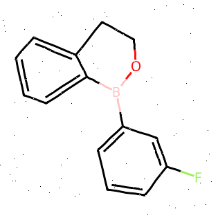 Fc1cccc(B2OCCc3ccccc32)c1